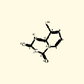 O=C1CC(=O)N2C=CC=C(I)C2=N1